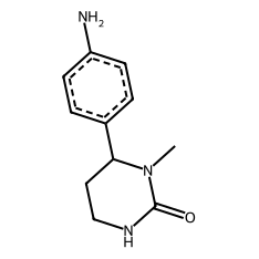 CN1C(=O)NCCC1c1ccc(N)cc1